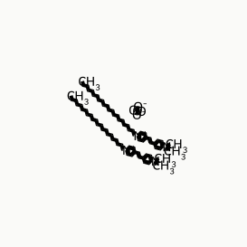 CCCCCCCCCCCCCCCCCCCCCC[n+]1ccc(/C=C/c2ccc(N(C)C)cc2)cc1.CCCCCCCCCCCCCCCCCCCCCC[n+]1ccc(/C=C/c2ccc(N(C)C)cc2)cc1.O=S(=O)([O-])[O-]